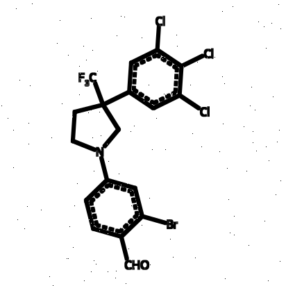 O=Cc1ccc(N2CCC(c3cc(Cl)c(Cl)c(Cl)c3)(C(F)(F)F)C2)cc1Br